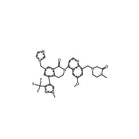 COc1cc(CN2CCN(C)C(=O)C2)c2nccc(N3CCc4c(cc(Cn5ccnc5)cc4-c4cn(C)nc4C(F)(F)F)C3=O)c2c1